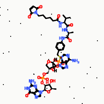 COP(=O)(O[C@H]1[C@H]2OC[C@]1(COP(=O)(O)O[C@@H]1[C@H](O)[C@@H](C)O[C@H]1n1cnc3c(=O)[nH]c(N)nc31)O[C@H]2n1cnc2c(N)ncnc21)SCc1ccc(NC(=O)[C@H](C)NC(=O)[C@@H](NC(=O)CCCCCN2C(=O)C=CC2=O)C(C)C)cc1